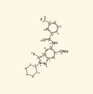 COc1cc2nn(C3CCCCC3)c(F)c2cc1NC(=O)c1cccc(C(F)(F)F)n1